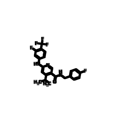 CC(C)c1cc(Nc2ccc(C(F)(F)F)c(F)c2)ncc1C(=O)NCc1ccc(F)cc1